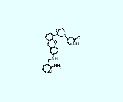 Nc1ncccc1CNc1ccc2c(c1)Sc1cccc(C3CN(c4cc[nH]c(=O)c4)CCO3)c1O2